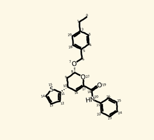 CCc1ccc(CO[C@H]2C[C@@H](c3cccs3)C=C(C(=O)Nc3ccccc3)O2)cc1